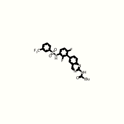 CC(C)(C)C(=O)Nc1ncc2cc(-c3c(F)ccc(NS(=O)(=O)c4cccc(C(F)(F)F)c4)c3F)ccc2n1